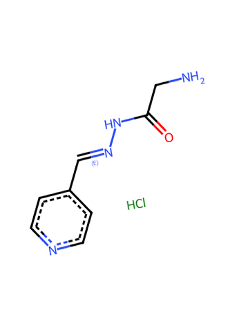 Cl.NCC(=O)N/N=C/c1ccncc1